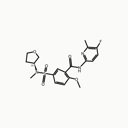 COc1ccc(S(=O)(=O)N(C)[C@H]2CCOC2)cc1C(=O)Nc1ccc(F)c(C)n1